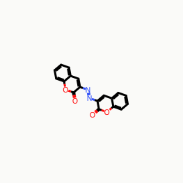 O=c1oc2ccccc2cc1N=Nc1cc2ccccc2oc1=O